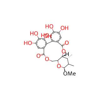 CO[C@H]1OC2COC(=O)c3cc(O)c(O)c(O)c3-c3c(cc(O)c(O)c3O)C(=O)O[C@@H]2[C@H](C)C1C